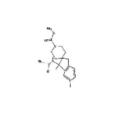 Cc1cnc2c(c1)C(C)(N[S@+]([O-])C(C)(C)C)C1(CCN(C(=O)OC(C)(C)C)CC1)C2